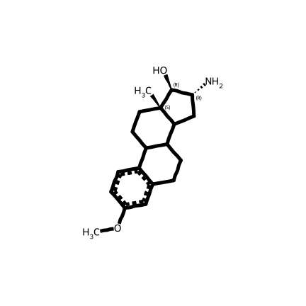 COc1ccc2c(c1)CCC1C2CC[C@@]2(C)C1C[C@@H](N)[C@@H]2O